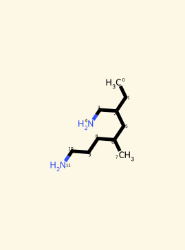 CCC(CN)CC(C)CCCN